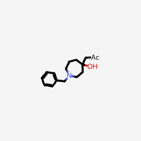 CC(=O)CC1(O)CCCN(Cc2ccccc2)CC1